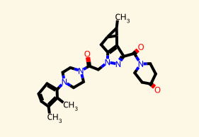 Cc1cccc(N2CCN(C(=O)Cn3nc(C(=O)N4CCC(=O)CC4)c4c3CC3C(C)C43)CC2)c1C